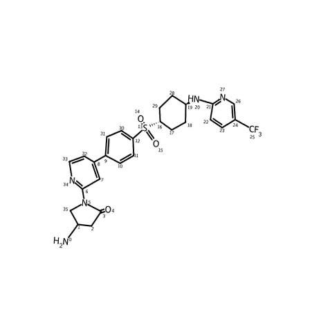 NC1CC(=O)N(c2cc(-c3ccc(S(=O)(=O)[C@H]4CC[C@H](Nc5ccc(C(F)(F)F)cn5)CC4)cc3)ccn2)C1